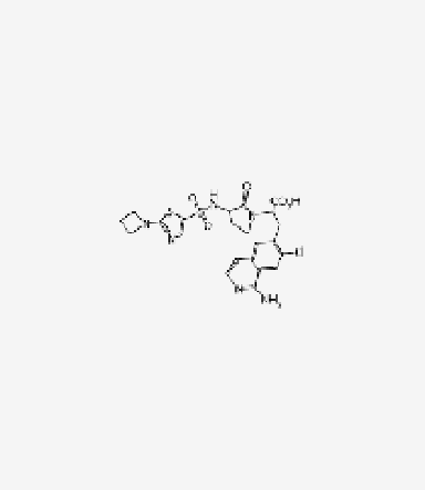 Nc1nccc2cc(CC(C(=O)O)N3CCC(NS(=O)(=O)c4cnc(N5CCC5)s4)C3=O)c(Cl)cc12